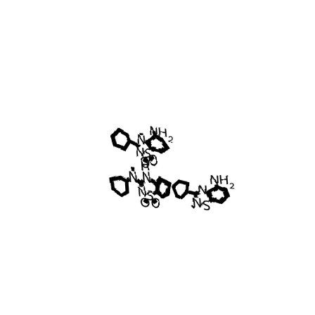 CN(C1=NS(=O)(=O)c2ccccc2N1)C1CCCCC1.CN1C(C2CCCCC2)=NS(=O)(=O)c2cccc(N)c21.CN1Sc2cccc(N)c2N=C1C1CCCCC1